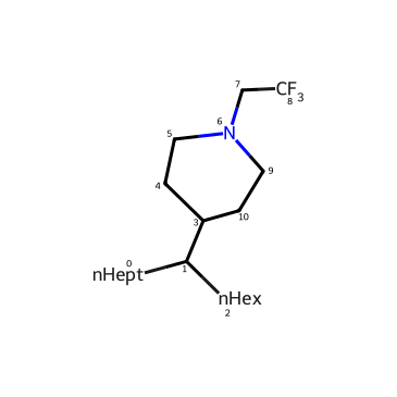 CCCCCCCC(CCCCCC)C1CCN(CC(F)(F)F)CC1